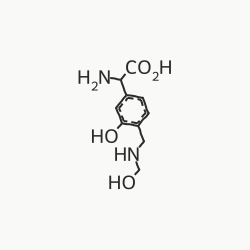 NC(C(=O)O)c1ccc(CNCO)c(O)c1